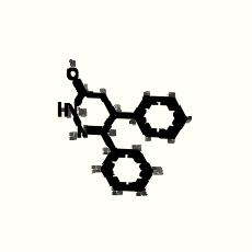 O=C1CC(c2ccccc2)C(c2ccccc2)=NN1